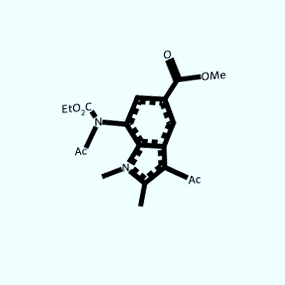 CCOC(=O)N(C(C)=O)c1cc(C(=O)OC)cc2c(C(C)=O)c(C)n(C)c12